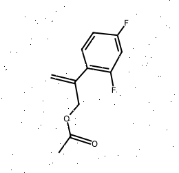 C=C(COC(C)=O)c1ccc(F)cc1F